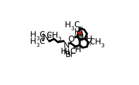 C[C@@H]1CC[C@H]2[C@@H](C)C(NCCCC[N+](C)(C)C)O[C@@H]3O[C@]4(C)CC[C@@H]1[C@]32OO4.[Br-]